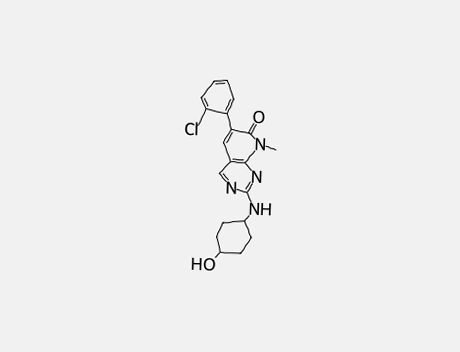 Cn1c(=O)c(-c2ccccc2Cl)cc2cnc(NC3CCC(O)CC3)nc21